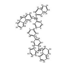 c1cc(-c2cccc(N(c3ccc4ccccc4c3)c3ccc4sc5ccccc5c4c3)c2)cc(-c2ccc3c(c2)c2ccccc2n3-c2cccc3ccccc23)c1